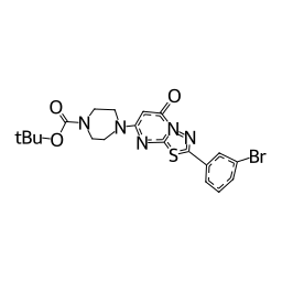 CC(C)(C)OC(=O)N1CCN(c2cc(=O)n3nc(-c4cccc(Br)c4)sc3n2)CC1